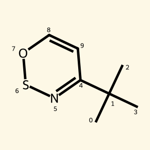 CC(C)(C)C1=NSOC=C1